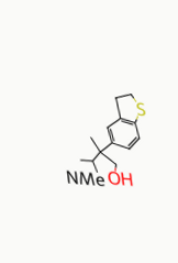 CNC(C)C(C)(CO)c1ccc2c(c1)CCS2